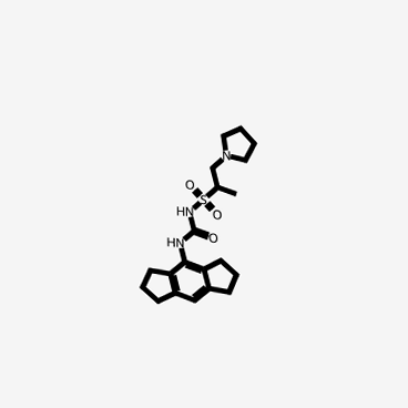 CC(CN1CCCC1)S(=O)(=O)NC(=O)Nc1c2c(cc3c1CCC3)CCC2